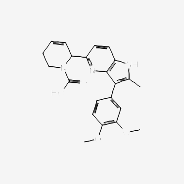 COc1ccc(-c2c(C)[nH]c3ccc(C4C=CCCN4C(=O)O)nc23)cc1OC